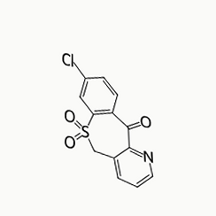 O=C1c2ccc(Cl)cc2S(=O)(=O)Cc2cccnc21